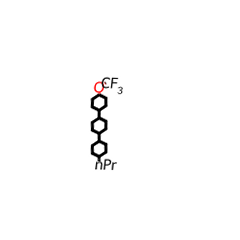 CCCC1CCC(C2CCC(C3CCC(OC(F)(F)F)CC3)CC2)CC1